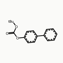 CC(C)(C)OC(=O)Oc1ccc(-c2ccccc2)cc1